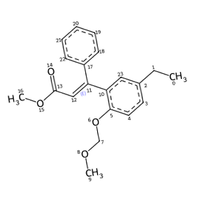 CCc1ccc(OCOC)c(/C(=C/C(=O)OC)c2ccccc2)c1